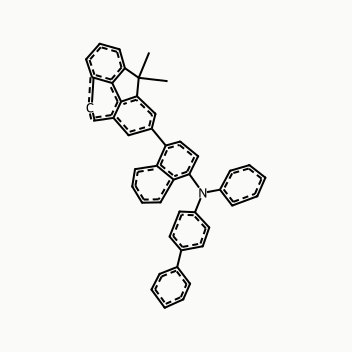 CC1(C)c2cccc3ccc4cc(-c5ccc(N(c6ccccc6)c6ccc(-c7ccccc7)cc6)c6ccccc56)cc1c4c23